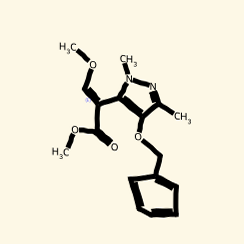 CO/C=C(/C(=O)OC)c1c(OCc2ccccc2)c(C)nn1C